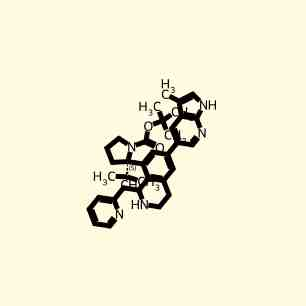 Cc1c[nH]c2ncc(-c3cc4c(c([C@@]5(C(C)(C)C)CCCN5C(=O)OC(C)(C)C)c3)C(Cc3ccccn3)NCC4)cc12